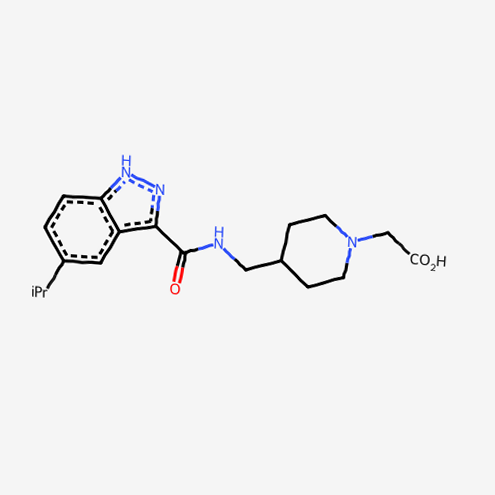 CC(C)c1ccc2[nH]nc(C(=O)NCC3CCN(CC(=O)O)CC3)c2c1